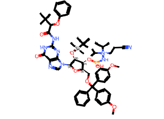 COc1ccc(C(OC[C@H]2O[C@@H](n3cnc4c(=O)[nH]c(NC(=O)C(Oc5ccccc5)C(C)(C)C)nc43)[C@H](O[Si](C)(C)C(C)(C)C)[C@@H]2OP(O)N[N+](CCC#N)(C(C)C)C(C)C)(c2ccccc2)c2ccc(OC)cc2)cc1